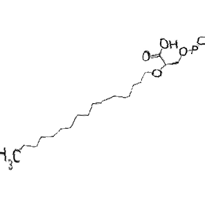 CCCCCCCCCCCCCCCCO[C@H](COP=O)C(=O)O